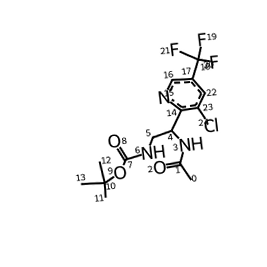 CC(=O)NC(CNC(=O)OC(C)(C)C)c1ncc(C(F)(F)F)cc1Cl